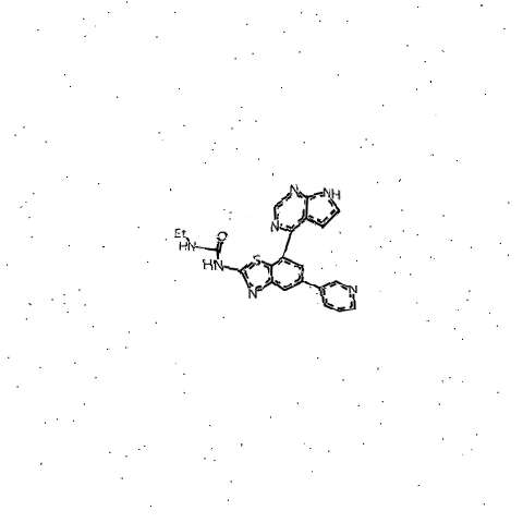 CCNC(=O)Nc1nc2cc(-c3cccnc3)cc(-c3ncnc4[nH]ccc34)c2s1